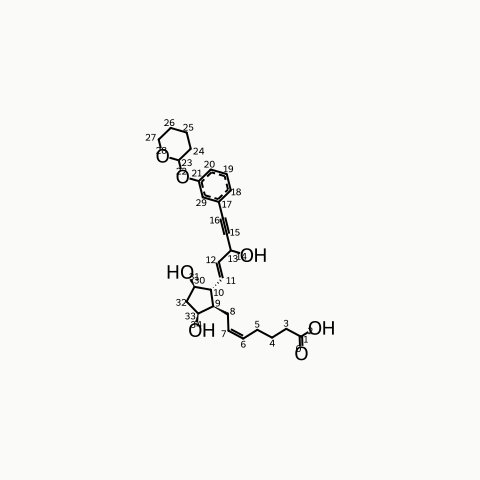 O=C(O)CCC/C=C\C[C@@H]1[C@@H](/C=C/C(O)C#Cc2cccc(OC3CCCCO3)c2)[C@H](O)C[C@@H]1O